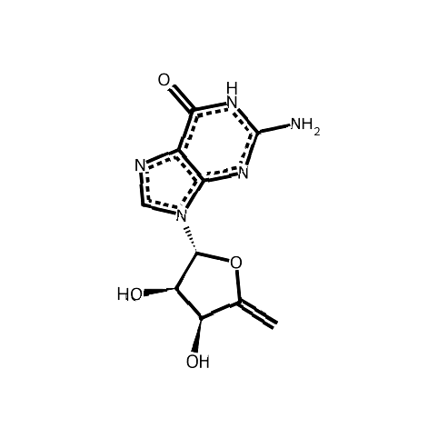 C=C1O[C@@H](n2cnc3c(=O)[nH]c(N)nc32)[C@H](O)[C@@H]1O